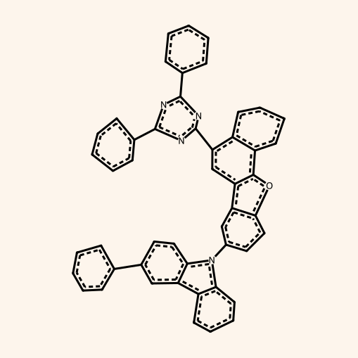 c1ccc(-c2ccc3c(c2)c2ccccc2n3-c2ccc3oc4c5ccccc5c(-c5nc(-c6ccccc6)nc(-c6ccccc6)n5)cc4c3c2)cc1